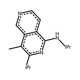 Cc1c(C(C)C)nc(NC(C)C)c2ccncc12